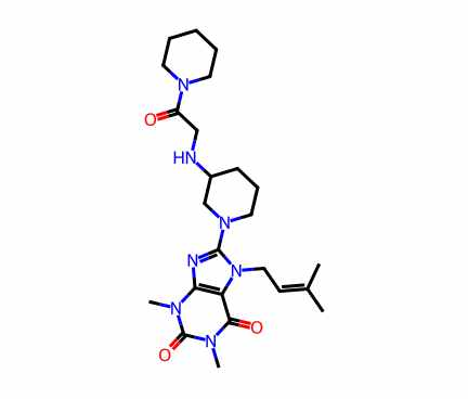 CC(C)=CCn1c(N2CCCC(NCC(=O)N3CCCCC3)C2)nc2c1c(=O)n(C)c(=O)n2C